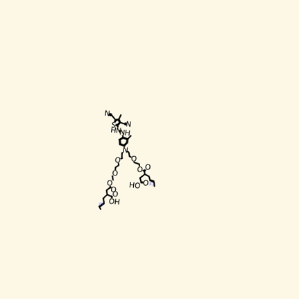 C/C=C/CC(CC(=O)OCCOCCOCCN(CCOCCOC(=O)C(C/C=C/C)CC(=O)O)c1ccc(NNc2sc(C#N)c(C)c2C#N)c(C)c1)C(=O)O